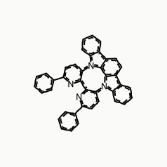 c1ccc(-c2ccc3c(n2)c2nc(-c4ccccc4)ccc2n2c4ccccc4c4ccc5c6ccccc6n3c5c42)cc1